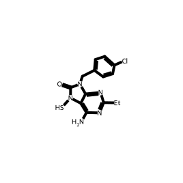 CCc1nc(N)c2c(n1)n(Cc1ccc(Cl)cc1)c(=O)n2S